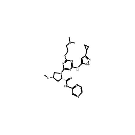 CO[C@H]1C[C@@H](C(=O)Nc2cnccn2)N(c2nc(Nc3cc(C4CC4)n[nH]3)nc(OCCN(C)C)n2)C1